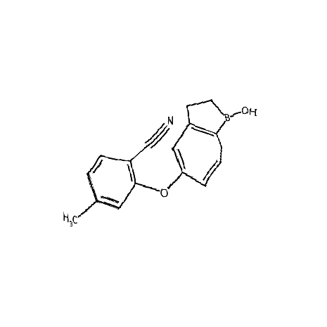 Cc1ccc(C#N)c(Oc2ccc3c(c2)CCB3O)c1